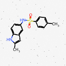 Cc1ccc(S(=O)(=O)Nc2ccc3[nH]c(C)[c]c3c2)cc1